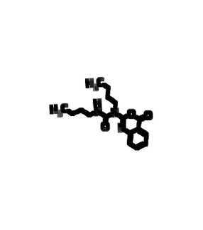 CCCCNC(=O)N(CCCC)c1nc2ccccc2c(=O)o1